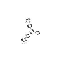 CC1=NC(C)(C)C(C)(C)N1c1ccc(-c2nc(-c3ccccc3)nc(-c3ccc(N4C(C)=NC(C)(C)C4(C)C)nc3)n2)cn1